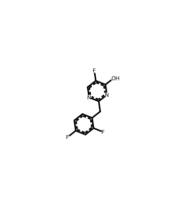 Oc1nc(Cc2ccc(F)cc2F)ncc1F